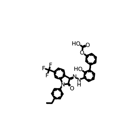 CCc1ccc(N2C(=O)C(=NNc3cccc(-c4cccc(OC(=O)O)c4)c3O)c3ccc(C(F)(F)F)cc32)cc1